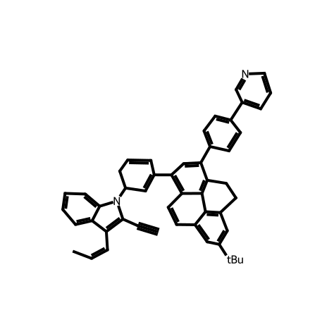 C#Cc1c(/C=C\C)c2ccccc2n1C1C=C(c2cc(-c3ccc(-c4cccnc4)cc3)c3c4c2ccc2cc(C(C)(C)C)cc(c24)CC3)C=CC1